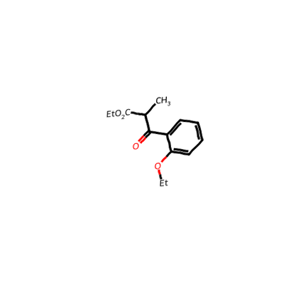 CCOC(=O)C(C)C(=O)c1ccccc1OCC